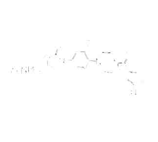 CC(=O)NC[C@H]1CN(c2ccc(N3CCN(C(=S)c4coc([N+](=O)[O-])c4)CC3)c(F)c2)C(=O)O1